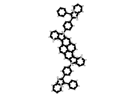 c1ccc(-c2c(-c3ccc(-n4c5cccnc5c5c6ccc7cc8c(c9ccc(cc54)c6c79)c4ncccc4n8-c4ccc(-c5nc6ccccn6c5-c5ccccc5)cc4)cc3)nc3ccccn23)cc1